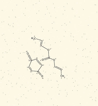 CC=COC(=O)OC=CC.O=C1C=CC(=O)C=C1